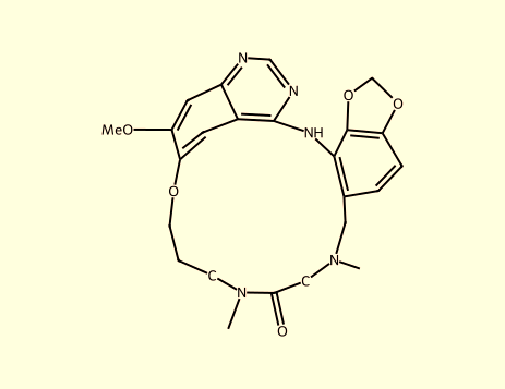 COc1cc2ncnc3c2cc1OCCCN(C)C(=O)CN(C)Cc1ccc2c(c1N3)OCO2